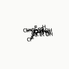 CCc1c(S(=O)(=O)NCP(=O)(O)O)sc2c(F)c(OCCCCl)c(OCCCCl)c(F)c12